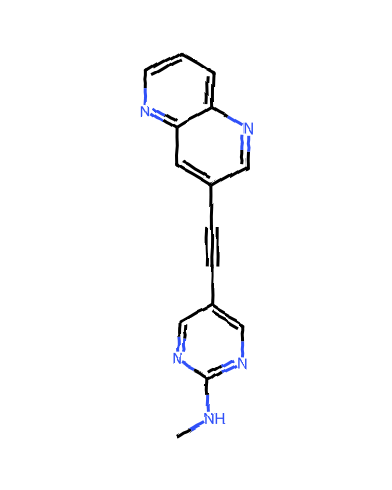 CNc1ncc(C#Cc2cnc3cccnc3c2)cn1